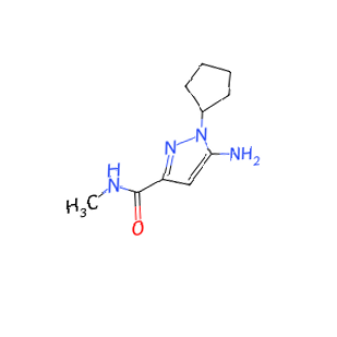 CNC(=O)c1cc(N)n(C2CCCC2)n1